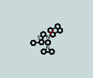 c1ccc(-c2cccc3c2sc2cccc(N(c4ccc(-c5cccc6cccc(-c7ccccc7)c56)cc4)c4ccc(-n5c6ccccc6c6ccccc65)cc4)c23)cc1